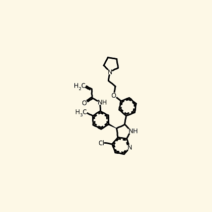 C=CC(=O)Nc1cc([C@@H]2c3c(Cl)ccnc3NC2c2cccc(OCCN3CCCC3)c2)ccc1C